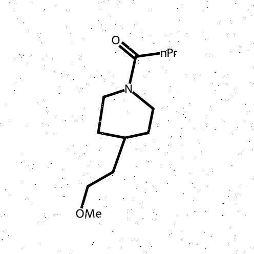 CCCC(=O)N1CCC(CCOC)CC1